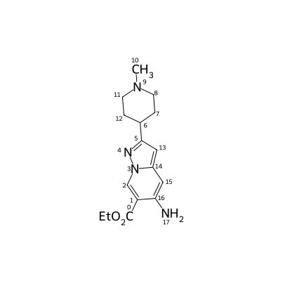 CCOC(=O)c1cn2nc(C3CCN(C)CC3)cc2cc1N